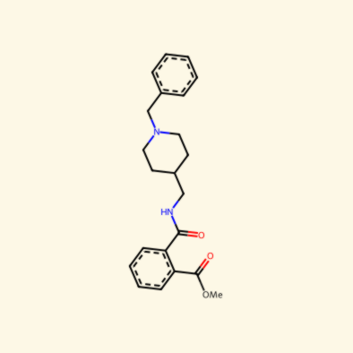 COC(=O)c1ccccc1C(=O)NCC1CCN(Cc2ccccc2)CC1